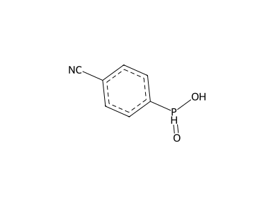 N#Cc1ccc([PH](=O)O)cc1